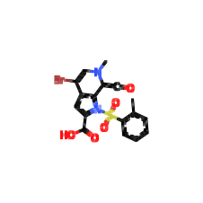 Cc1ccccc1S(=O)(=O)n1c(C(=O)O)cc2c1C(=C=O)N(C)C=C2Br